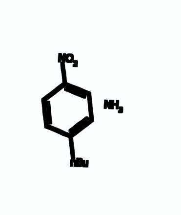 CCCCc1ccc([N+](=O)[O-])cc1.N